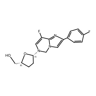 OC[C@H]1CC[C@@H](N2C=C(F)c3nc(-c4ccc(F)cc4)cn3C2)O1